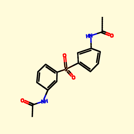 CC(=O)Nc1cccc(S(=O)(=O)c2cccc(NC(C)=O)c2)c1